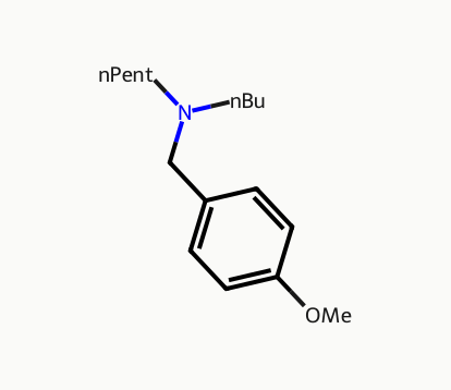 CCCCCN(CCCC)Cc1ccc(OC)cc1